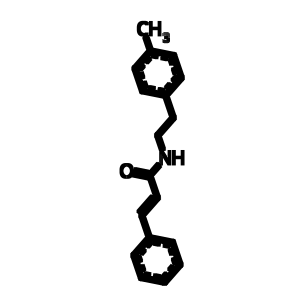 Cc1ccc(CCNC(=O)/C=C/c2ccccc2)cc1